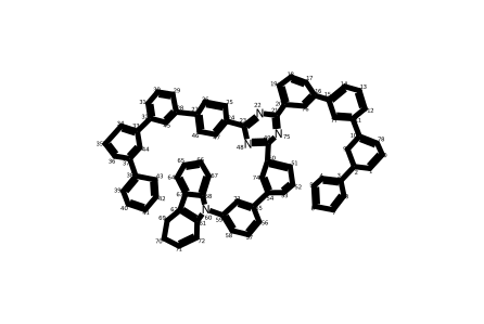 C1=CC(c2ccccc2)CC(c2cccc(-c3cccc(-c4nc(-c5ccc(-c6cccc(-c7cccc(-c8ccccc8)c7)c6)cc5)nc(-c5cccc(-c6cccc(-n7c8c(c9ccccc97)CCC=C8)c6)c5)n4)c3)c2)=C1